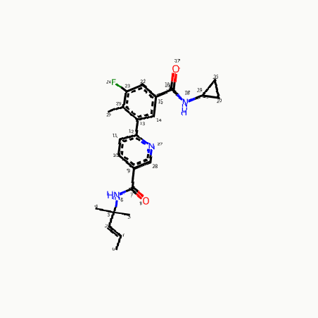 CC=CC(C)(C)NC(=O)c1ccc(-c2cc(C(=O)NC3CC3)cc(F)c2C)nc1